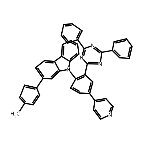 Cc1ccc(-c2ccc3c4ccccc4n(-c4ccc(-c5ccncc5)cc4-c4nc(-c5ccccc5)nc(-c5ccccc5)n4)c3c2)cc1